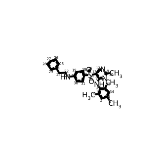 Cc1cc(C)c(Nc2nc(C)ncc2S(=O)(=O)c2ccc(NCCc3ccccc3)cc2)c(C)c1